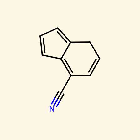 N#CC1=C2C=CC=C2CC=C1